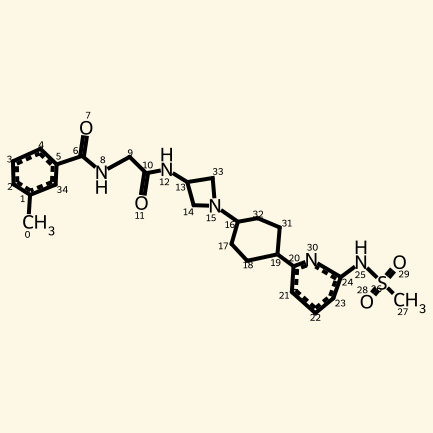 Cc1cccc(C(=O)NCC(=O)NC2CN(C3CCC(c4cccc(NS(C)(=O)=O)n4)CC3)C2)c1